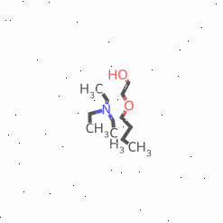 CCCCOCCO.CCN(CC)CC